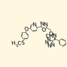 CSc1ccc(Oc2ccc(-c3nnc(CO/N=C(/c4ccccc4)c4nnnn4C)o3)nc2)cc1